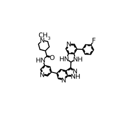 CN1CCC(C(=O)Nc2cncc(-c3cnc4[nH]nc(C5Nc6cncc(-c7cccc(F)c7)c6N5)c4c3)c2)CC1